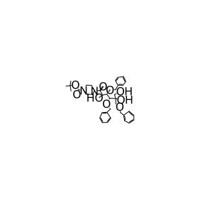 CC(C)(C)OC(=O)N1CCN(C(=O)[C@H](O)[C@@H](OCc2ccccc2)[C@H](OCc2ccccc2)[C@](O)(CO)COCc2ccccc2)CC1